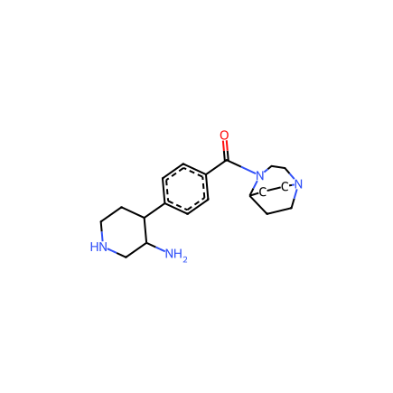 NC1CNCCC1c1ccc(C(=O)N2CCN3CCC2CC3)cc1